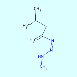 C=C(CC(C)C)/N=N\NN